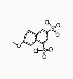 COc1ccc2cc(S(=O)(=O)Cl)cc(S(=O)(=O)Cl)c2c1